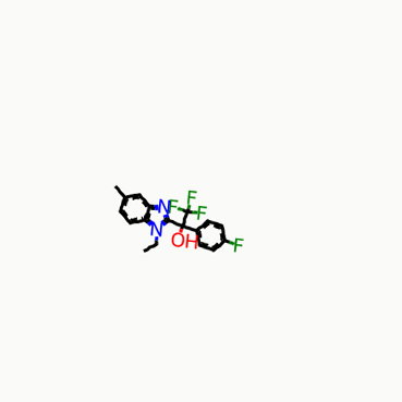 CCn1c(C(O)(c2ccc(F)cc2)C(F)(F)F)nc2cc(C)ccc21